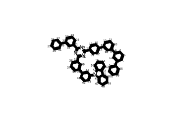 c1ccc(-c2cccc(-c3cccc(-c4ccc(-c5nc(-c6cccc(-c7ccccc7)c6)nc(-c6cccc(-c7cccc(-n8c9ccccc9c9ccccc98)c7)c6)n5)cc4)c3)c2)cc1